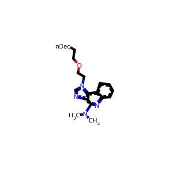 CCCCCCCCCCCCOCCn1cnc2c(N(C)C)nc3ccccc3c21